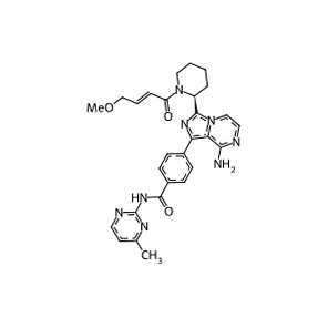 COCC=CC(=O)N1CCCC[C@H]1c1nc(-c2ccc(C(=O)Nc3nccc(C)n3)cc2)c2c(N)nccn12